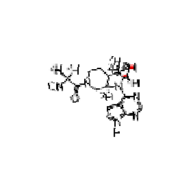 [2H]C([2H])([N+]#[C-])C(=O)N1CC[C@@H](C([2H])([2H])[2H])[C@@]([2H])(N(c2ncnc3[nH]ccc23)C([2H])([2H])[2H])C1